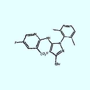 Cc1cccc(C)c1-n1nc(C(C)(C)C)cc1Nc1ncc(F)cc1C(=O)O